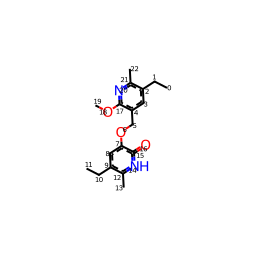 CCc1cc(COc2cc(CC)c(C)[nH]c2=O)c(OC)nc1C